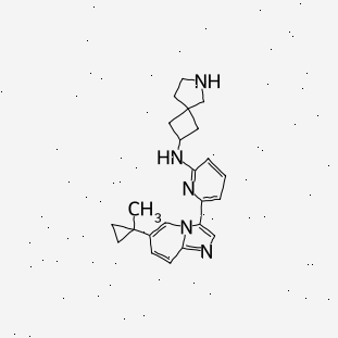 CC1(c2ccc3ncc(-c4cccc(NC5CC6(CCNC6)C5)n4)n3c2)CC1